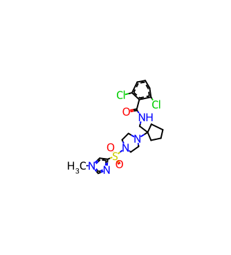 Cn1cnc(S(=O)(=O)N2CCN(C3(CNC(=O)c4c(Cl)cccc4Cl)CCCC3)CC2)c1